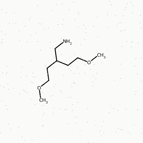 COCC[C](CN)CCOC